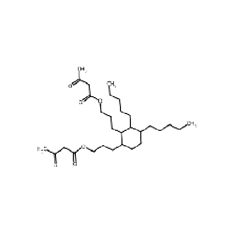 CCCCCC1CCC(CCCOC(=O)CC(C)=O)C(CCCOC(=O)CC(C)=O)C1CCCCC